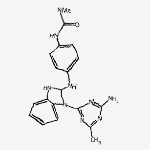 CNC(=O)Nc1ccc(NC2Nc3ccccc3N2c2nc(C)nc(N)n2)cc1